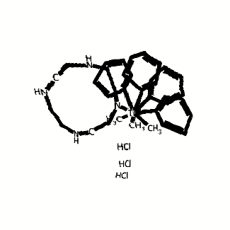 Cl.Cl.Cl.[CH3][Ti]([CH3])([CH3])([c]1ccccc1)([c]1ccccc1)([c]1ccccc1)([c]1ccccc1)[N]1CCNCCNCCNCC1